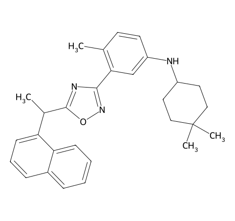 Cc1ccc(NC2CCC(C)(C)CC2)cc1-c1noc(C(C)c2cccc3ccccc23)n1